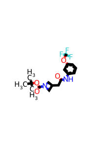 CC(C)(C)OC(=O)N1CC(CC(=O)Nc2cccc(OC(F)(F)F)c2)C1